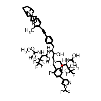 COC(=O)N[C@H](C(=O)N[C@@H](Cc1ccc(C#Cc2ccc(N3CC4CCC(C3)N4C3COC3)nc2C)cc1)[C@@H](O)CN(CC(=O)[C@@H](NC(=O)O)C(C)(C)C(F)(F)F)Cc1c(F)cc(-c2cnn(C(F)F)c2)cc1F)C(C)(C)C(F)(F)F